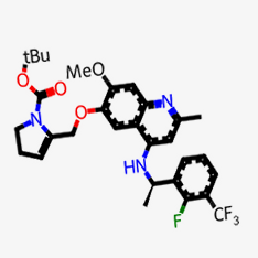 COc1cc2nc(C)cc(N[C@H](C)c3cccc(C(F)(F)F)c3F)c2cc1OCC1=CCCN1C(=O)OC(C)(C)C